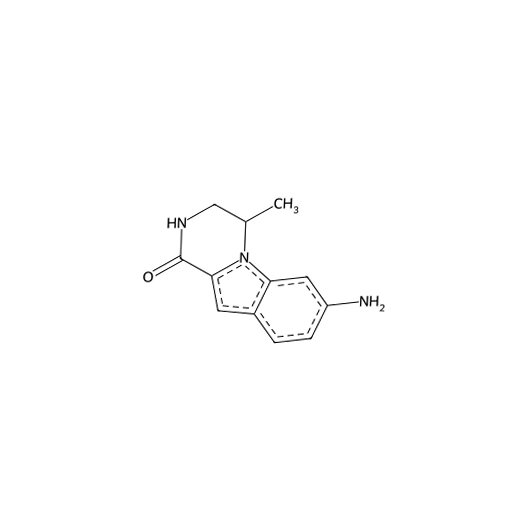 CC1CNC(=O)c2cc3ccc(N)cc3n21